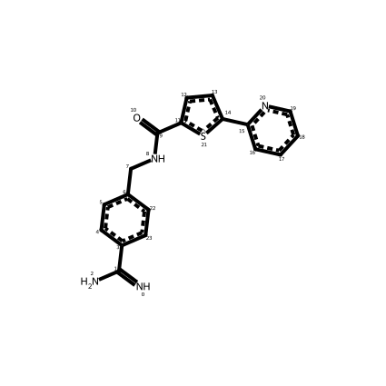 N=C(N)c1ccc(CNC(=O)c2ccc(-c3ccccn3)s2)cc1